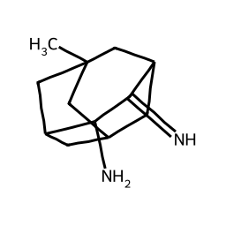 CC12CC3CC(C1)C(=N)C(N)C(C3)C2